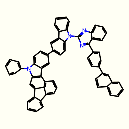 c1ccc(-n2c3ccc(-c4ccc5c(c4)c4ccccc4n5-c4nc(-c5ccc(-c6ccc7ccccc7c6)cc5)c5ccccc5n4)cc3c3c4cccc5c4c(cc32)-c2ccccc2-5)cc1